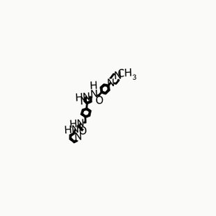 CN1CCN(c2ccc(C(=O)Nc3cc(-c4ccc(CNC(=O)Nc5ccccn5)cc4)n[nH]3)cc2)CC1